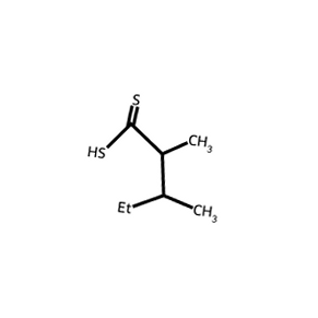 CCC(C)C(C)C(=S)S